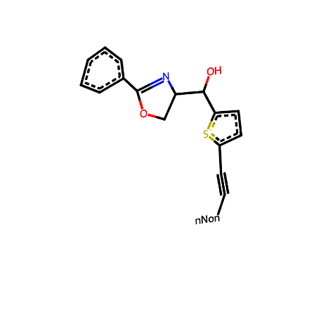 CCCCCCCCCC#Cc1ccc(C(O)C2COC(c3ccccc3)=N2)s1